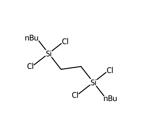 CCCC[Si](Cl)(Cl)CC[Si](Cl)(Cl)CCCC